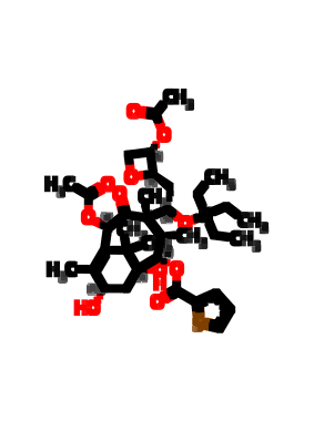 CC[Si](CC)(CC)O[C@@H](C[C@H]1OC[C@@H]1OC(C)=O)[C@@]1(C)C(=O)[C@H](OC(C)=O)C2=C(C)[C@@H](O)C[C@@](O)([C@@H](OC(=O)c3cccs3)[C@@H]1C)C2(C)C